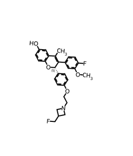 COc1cc(C2=C(C)c3cc(O)ccc3O[C@H]2c2ccc(OCCN3CC(CF)C3)cc2)ccc1F